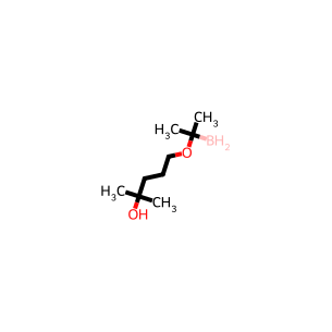 BC(C)(C)OCCCC(C)(C)O